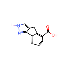 O=C(O)c1cccc2c1Cc1cn(I)nc1-2